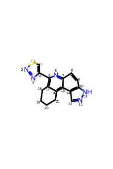 c1snnc1-c1nc2ccc3[nH]ncc3c2c2c1CCCC2